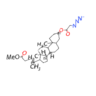 COC(=O)CC[C@@H](C)C1CC[C@H]2[C@@H]3CCC4C[C@H](OC(=O)CN=[N+]=[N-])CCC4(C)C3CCC12C